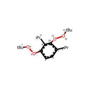 CC(C)c1ccc(OOC(C)(C)C)c(C(C)C)c1OOC(C)(C)C